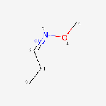 CC/C=N\OC